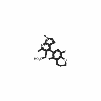 Cc1nc2c(ccn2C)c(-c2cc(F)c3c(c2C)CCCO3)c1CC(=O)O